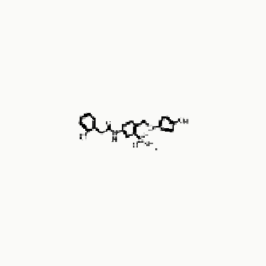 N#Cc1ccc(OCc2ccc(NC(=O)Cc3ccccc3Cl)cc2S(N)(=O)=O)cc1